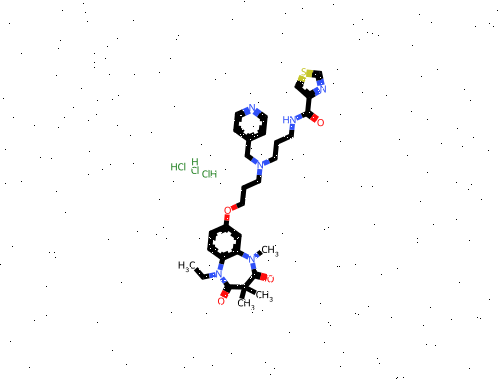 CCN1C(=O)C(C)(C)C(=O)N(C)c2cc(OCCCN(CCCNC(=O)c3cscn3)Cc3ccncc3)ccc21.Cl.Cl.Cl